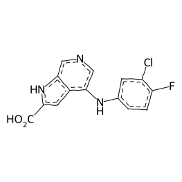 O=C(O)c1cc2c(Nc3ccc(F)c(Cl)c3)cncc2[nH]1